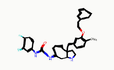 COc1ccc(CC23CCNC2CC(NC(=O)Nc2ccc(F)c(F)c2)CC3)cc1OCc1ccccc1